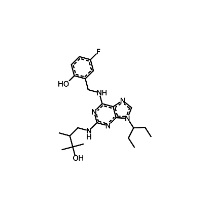 CCC(CC)n1cnc2c(NCc3cc(F)ccc3O)nc(NCC(C)C(C)(C)O)nc21